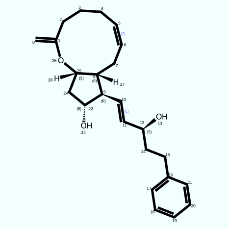 C=C1CCC/C=C\C[C@@H]2[C@@H](/C=C/[C@@H](O)CCc3ccccc3)[C@H](O)C[C@@H]2O1